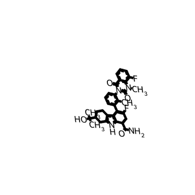 Cc1c(C2=C(F)CC(C(N)=O)c3[nH]c4c(c32)CCC(C(C)(C)O)C4)cccc1-n1c(=O)c2cccc(F)c2n(C)c1=O